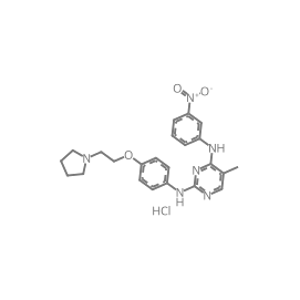 Cc1cnc(Nc2ccc(OCCN3CCCC3)cc2)nc1Nc1cccc([N+](=O)[O-])c1.Cl